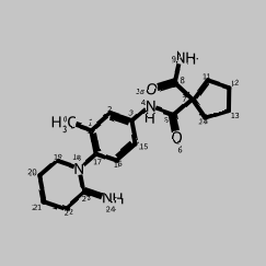 Cc1cc(NC(=O)C2(C([NH])=O)CCCC2)ccc1N1CCCCC1=N